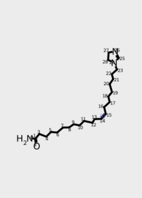 NC(=O)CCCCCCCCCCC/C=C\CCCCCCCCN1C=NCC1